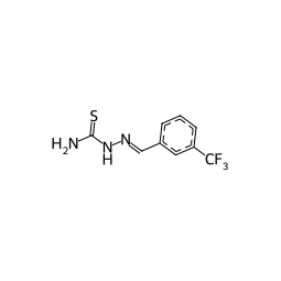 NC(=S)NN=Cc1cccc(C(F)(F)F)c1